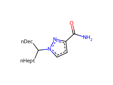 CCCCCCCCCCC(CCCCCCC)n1ccc(C(N)=O)n1